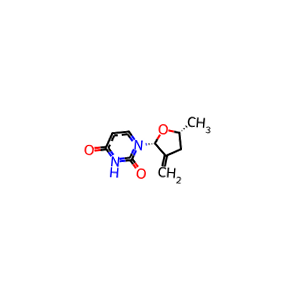 C=C1C[C@@H](C)O[C@H]1n1ccc(=O)[nH]c1=O